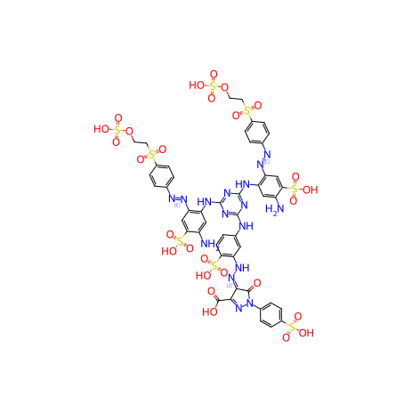 Nc1cc(Nc2nc(Nc3ccc(S(=O)(=O)O)c(N/N=C4\C(=O)N(c5ccc(S(=O)(=O)O)cc5)N=C4C(=O)O)c3)nc(Nc3cc(N)c(S(=O)(=O)O)cc3/N=N/c3ccc(S(=O)(=O)CCOS(=O)(=O)O)cc3)n2)c(/N=N/c2ccc(S(=O)(=O)CCOS(=O)(=O)O)cc2)cc1S(=O)(=O)O